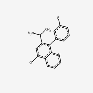 CC(N)c1cc(Cl)c2cccnc2c1-c1cccc(F)c1